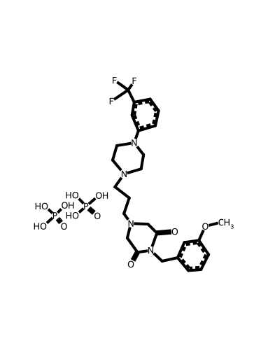 COc1cccc(CN2C(=O)CN(CCCN3CCN(c4cccc(C(F)(F)F)c4)CC3)CC2=O)c1.O=P(O)(O)O.O=P(O)(O)O